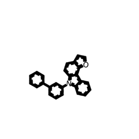 c1ccc(-c2cccc(-n3c4ccccc4c4c5occc5ccc43)c2)cc1